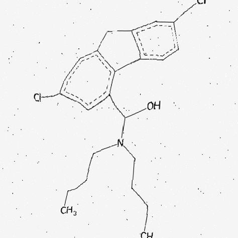 CCCCN(CCCC)C(O)c1cc(Cl)cc2c1-c1ccc(Cl)cc1C2